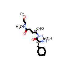 CCOCCN(C)C(=O)CC[C@@H](C=O)NC(=O)[C@H](CC1CCCCC1)NC(=O)O